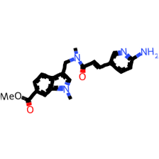 COC(=O)c1ccc2c(CN(C)C(=O)/C=C/c3ccc(N)nc3)cn(C)c2c1